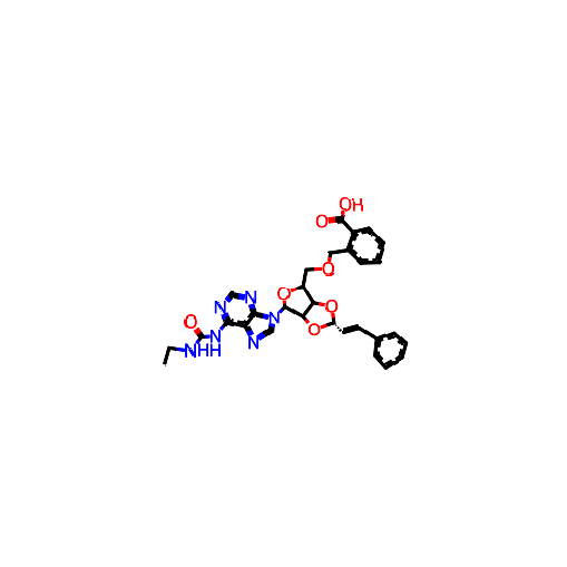 CCNC(=O)Nc1ncnc2c1ncn2C1OC(COCc2ccccc2C(=O)O)C2O[C@H](/C=C/c3ccccc3)OC21